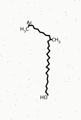 CC(=O)C(C)CCCCCCCC(C)CCCCCCCCCCCCCCCCCCO